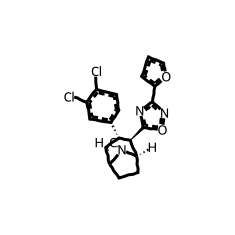 CN1C2CC[C@@H]1[C@H](c1nc(-c3ccco3)no1)[C@@H](c1ccc(Cl)c(Cl)c1)C2